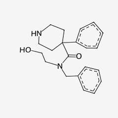 O=C(N(CCO)Cc1ccccc1)C1(c2ccccc2)CCNCC1